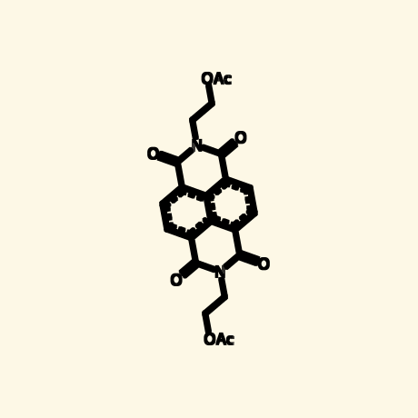 CC(=O)OCCN1C(=O)c2ccc3c4c(ccc(c24)C1=O)C(=O)N(CCOC(C)=O)C3=O